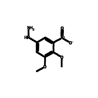 COc1cc(NN)cc([N+](=O)[O-])c1OC